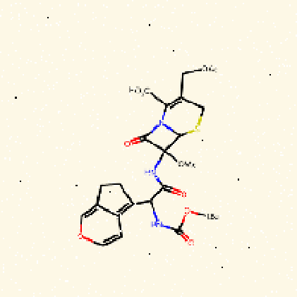 COC1(NC(=O)C(NC(=O)OC(C)(C)C)C2=C3C=COC=C3CC2)C(=O)N2C(C(=O)O)=C(COC(C)=O)CSC21